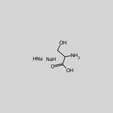 NC(CO)C(=O)O.[NaH].[NaH]